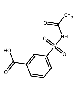 CC(=O)NS(=O)(=O)c1cccc(C(=O)O)c1